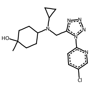 CC1(O)CCC(N(Cc2nnnn2-c2ccc(Cl)cn2)C2CC2)CC1